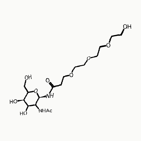 CC(=O)NC1C(O)[C@@H](O)C(CO)O[C@H]1NC(=O)CCOCCOCCOCCO